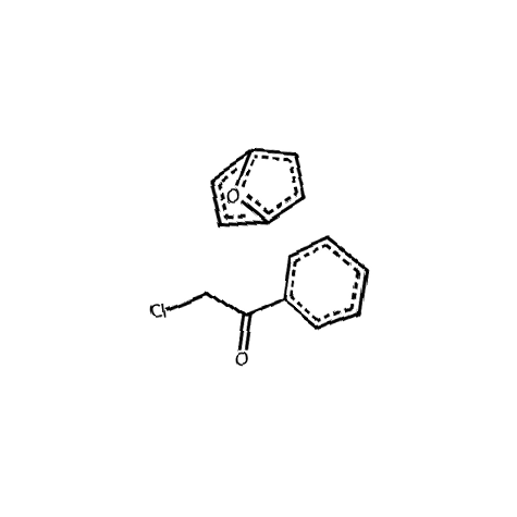 O=C(CCl)c1ccccc1.c1cc2ccc1o2